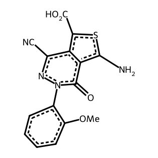 COc1ccccc1-n1nc(C#N)c2c(C(=O)O)sc(N)c2c1=O